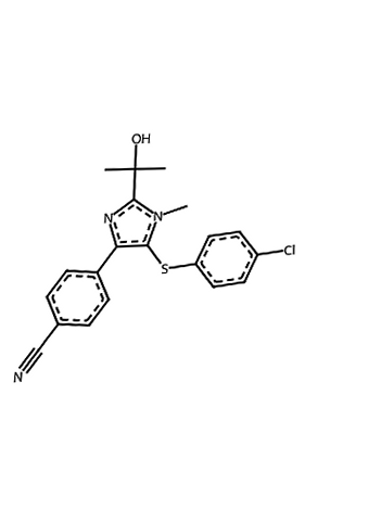 Cn1c(C(C)(C)O)nc(-c2ccc(C#N)cc2)c1Sc1ccc(Cl)cc1